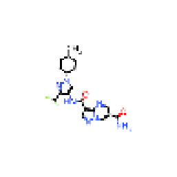 C[C@H]1CC[C@H](n2cc(NC(=O)c3cnn4cc(C(N)=O)cnc34)c(C(F)F)n2)CC1